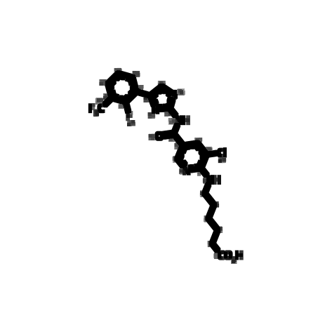 O=C(O)CCCCCNc1ncc(C(=O)Nc2nc(-c3cccc(C(F)(F)F)c3F)cs2)cc1Cl